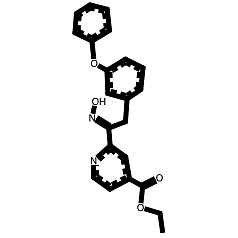 CCOC(=O)c1ccnc(/C(Cc2cccc(Oc3ccccc3)c2)=N/O)c1